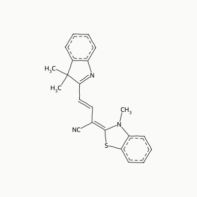 CN1/C(=C(C#N)\C=C\C2=Nc3ccccc3C2(C)C)Sc2ccccc21